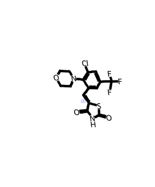 O=C1NC(=O)/C(=C/c2cc(C(F)(F)F)cc(Cl)c2N2CCOCC2)S1